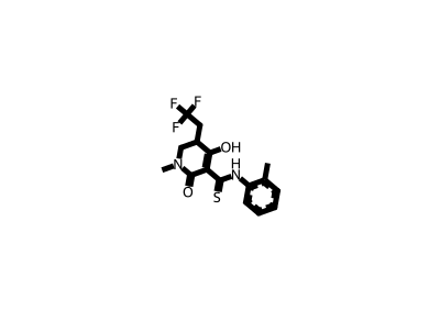 Cc1ccccc1NC(=S)C1=C(O)C(CC(F)(F)F)CN(C)C1=O